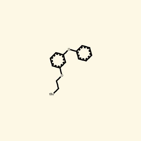 CC(C)(C)CCOc1cccc(Oc2ccccc2)c1